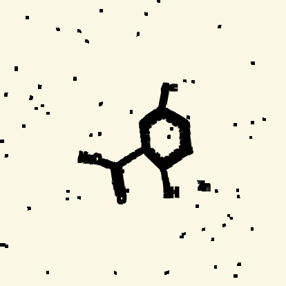 COC(=O)c1cc(C(C)=O)ccc1S.[Zn]